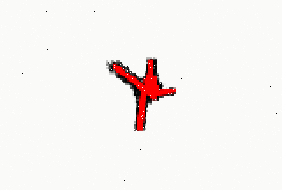 CCCCCCCCCCCCCCC=CCC(CCCC)CCc1ccccc1C1=C(CCCCCC)C(CCCCCCCC)=C(c2ccccc2CCC(CC=CCCCCCCCCCCCCCC)CCCC)[N+]1=[N-].CCCCCCCCCCCCCCCCCCCCCCCCCCCC[CH2][Pd][CH2]CCCCCCCCCCCCCCCCCCCCCCCCCCCC